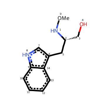 CON[C@H](CO)Cc1c[nH]c2ccccc12